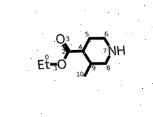 CCOC(=O)C1CCNCC1C